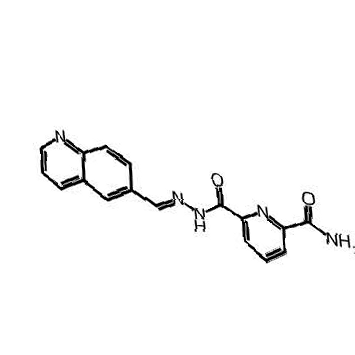 NC(=O)c1cccc(C(=O)N/N=C/c2ccc3ncccc3c2)n1